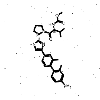 COC(=O)N[C@H](C(=O)N1CCC[C@H]1c1nc(-c2ccc(-c3ccc(N)cc3C)c(C)c2)c[nH]1)C(C)C